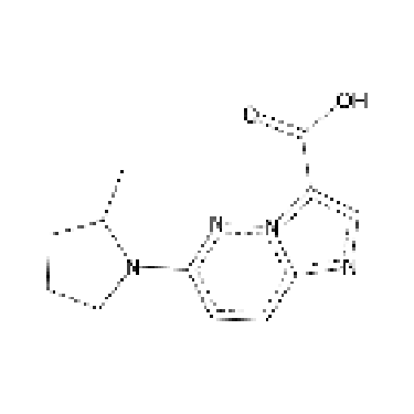 CC1CCCN1c1ccc2ncc(C(=O)O)n2n1